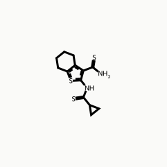 NC(=S)c1c(NC(=S)C2CC2)sc2c1CCCC2